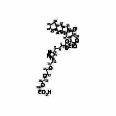 CCC1(OC(=O)CCCc2cn(CCOCCOCCOCC(=O)O)nn2)C(=O)OCc2c1cc1n(c2=O)Cc2cc3ccccc3cc2-1